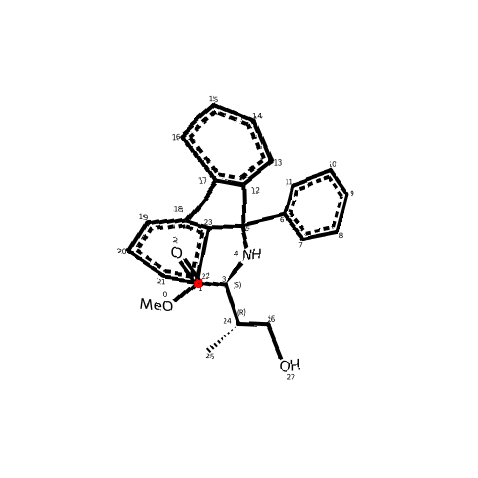 COC(=O)[C@@H](NC1(c2ccccc2)c2ccccc2-c2ccccc21)[C@@H](C)CO